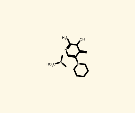 C=C1C(N2CCCCC2)=CN=C(N)C1O.CN(C)C(=O)O